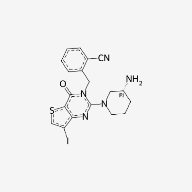 N#Cc1ccccc1Cn1c(N2CCC[C@@H](N)C2)nc2c(I)csc2c1=O